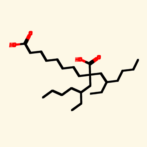 CCCCC(CC)CC(CCCCCCCC(=O)O)(CC(CC)CCCC)C(=O)O